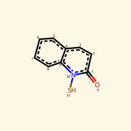 O=c1ccc2ccccc2n1S